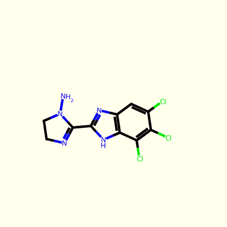 NN1CCN=C1c1nc2cc(Cl)c(Cl)c(Cl)c2[nH]1